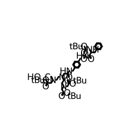 CC(C)(C)OC(=O)CN(CCN(CCN(CC(=O)OC(C)(C)C)CC(=O)OC(C)(C)C)CC(=O)NCc1ccc(CONC(=O)C(Cc2ccccc2)NC(=O)OC(C)(C)C)cc1)CC(=O)O